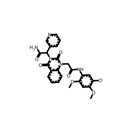 COc1cc(OC)c(NC(=O)Cn2c(=O)n(C(C(N)=O)c3cccnc3)c(=O)c3ccccc32)cc1Cl